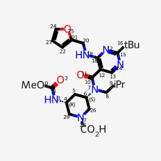 COC(=O)N[C@@H]1C[C@H](N(CC(C)C)C(=O)c2cnc(C(C)(C)C)nc2NCc2ccco2)CN(C(=O)O)C1